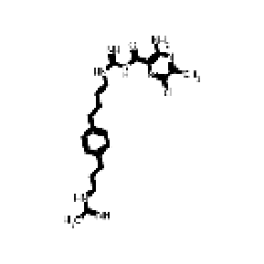 CC(=N)NCCCc1ccc(CCCCNC(=N)NC(=O)c2nc(Cl)c(C)nc2N)cc1